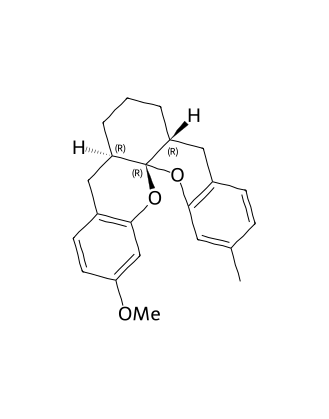 COc1ccc2c(c1)O[C@]13Oc4cc(C)ccc4C[C@H]1CCC[C@@H]3C2